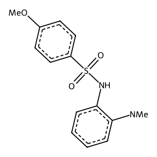 CNc1ccccc1NS(=O)(=O)c1ccc(OC)cc1